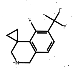 Fc1c(C(F)(F)F)ccc2c1C1(CC1)CNC2